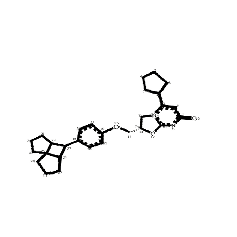 O=c1cc(C2CCCC2)n2c(n1)O[C@H](COc1ccc(C3C4CCCC45CCCC35)cc1)C2